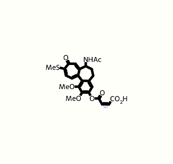 COc1c(OC(=O)/C=C\C(=O)O)cc2c(c1OC)-c1ccc(SC)c(=O)cc1C(NC(C)=O)CC2